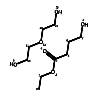 CCOC(=O)CCCO.OCCOCCO